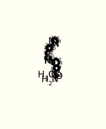 CN(C(N)=O)c1ccc2c(c1)CN(C1=NCC(Cc3ccc(-c4ncccn4)cc3)S1)CCC2